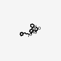 C[C@@H](CCCc1ccccc1)Oc1ccc2c(c1)=C1C(O)=CC(=O)CN1[C@@H]1CCCCC=21